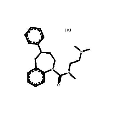 CN(C)CCN(C)C(=O)N1CCC(c2ccccc2)Cc2ccccc21.Cl